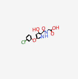 O=C(O)CNC(=O)c1ncc(Oc2cccc(Cl)c2)cc1O